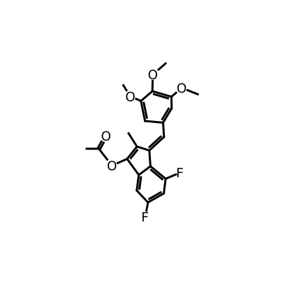 COc1cc(C=C2C(C)=C(OC(C)=O)c3cc(F)cc(F)c32)cc(OC)c1OC